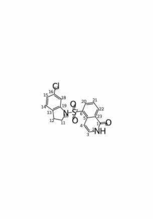 O=c1[nH]ccc2c(S(=O)(=O)N3CCc4ccc(Cl)cc43)cccc12